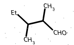 CCC(C)C(C)[C]=O